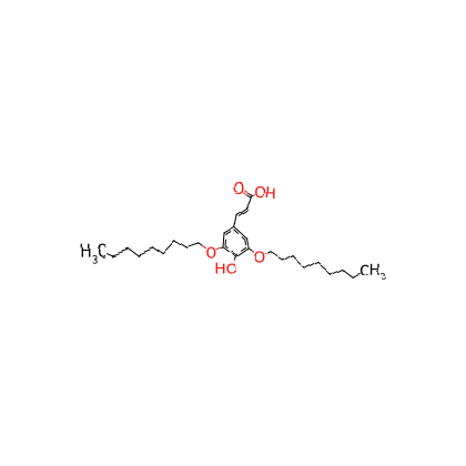 CCCCCCCCCOc1cc(C=CC(=O)O)cc(OCCCCCCCCC)c1O